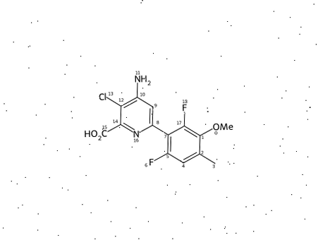 COc1c(C)cc(F)c(-c2cc(N)c(Cl)c(C(=O)O)n2)c1F